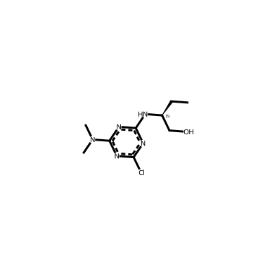 CC[C@@H](CO)Nc1nc(Cl)nc(N(C)C)n1